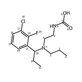 CCCN(CCNC(=O)O)C(CC)c1cccc(Cl)c1F